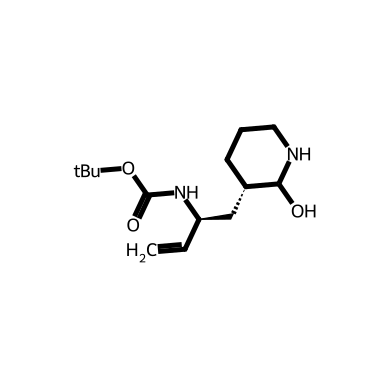 C=C[C@H](C[C@@H]1CCCNC1O)NC(=O)OC(C)(C)C